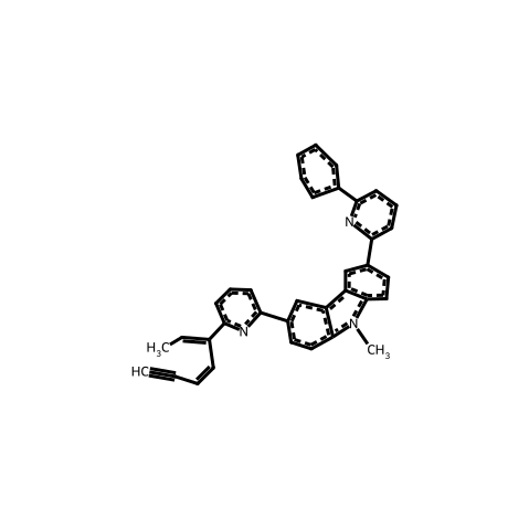 C#C/C=C\C(=C/C)c1cccc(-c2ccc3c(c2)c2cc(-c4cccc(-c5ccccc5)n4)ccc2n3C)n1